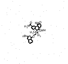 CCCCc1cc2ccccc2c(OCC[N+](C)(C)[C@@H](C(=O)OC)c2ccc(C(N)=O)cc2-c2ccccc2OC)n1